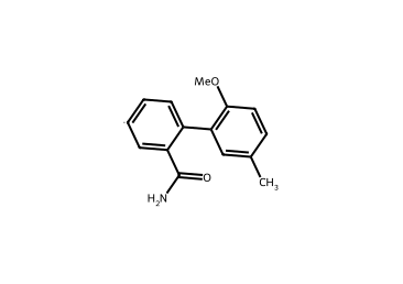 COc1ccc(C)cc1-c1cc[c]cc1C(N)=O